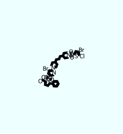 O=C(O)C1CCC(c2ccccc2)N1S(=O)(=O)c1cnc(N2CCC(CCCC3CCN(S(=O)(=O)c4cc(Br)c(Cl)s4)CC3)CC2)c(Br)c1